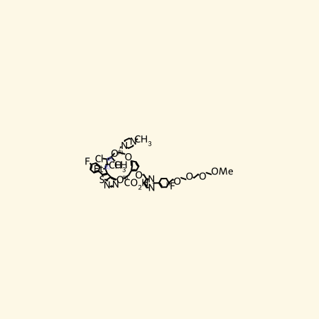 C#C/C1=C(Cl)\C(C)=C(/CC)c2c(-c3ccc(F)cc3)sc3ncnc(c23)O[C@@H](C(=O)O)Cc2cc(ccc2OCc2ccnc(C3=CC[C@@](F)(COCCOCCOCCOC)CC3)n2)OC[C@@H](CN2CCN(C)CC2)O1